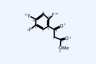 COC(=O)CC(=O)c1cc(F)c(F)cc1F